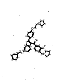 COc1cc(C(=O)c2c(-c3ccc(OCCN4CCCC4)cc3)sc3cc(OCc4ccccc4)ccc23)ccc1CN1CCCC1